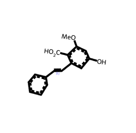 COc1cc(O)cc(/C=C/c2ccccc2)c1C(=O)O